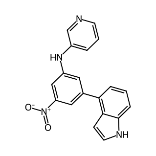 O=[N+]([O-])c1cc(Nc2cccnc2)cc(-c2cccc3[nH]ccc23)c1